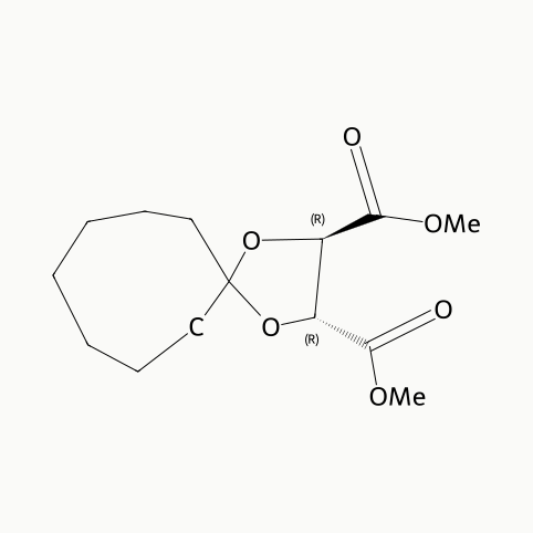 COC(=O)[C@@H]1OC2(CCCCCCC2)O[C@H]1C(=O)OC